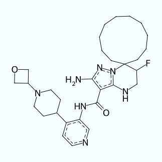 Nc1nn2c(c1C(=O)Nc1cnccc1C1CCN(C3COC3)CC1)NCC(F)C21CCCCCCCCCC1